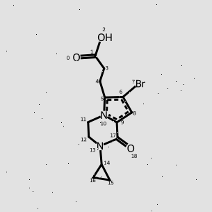 O=C(O)CCc1c(Br)cc2n1CCN(C1CC1)C2=O